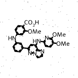 COc1cc(Nc2cccc(-c3cc(Nc4ccc(OC)c(OC)n4)c4nccn4n3)c2)ccc1C(=O)O